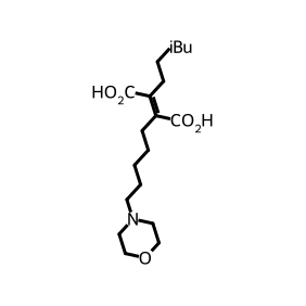 CCC(C)CC/C(C(=O)O)=C(/CCCCCN1CCOCC1)C(=O)O